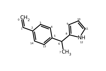 C=Cc1ccc(C(C)c2ccc[nH]2)cc1